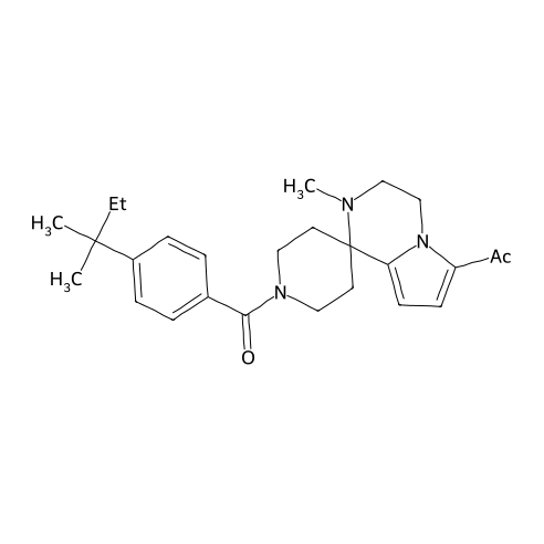 CCC(C)(C)c1ccc(C(=O)N2CCC3(CC2)c2ccc(C(C)=O)n2CCN3C)cc1